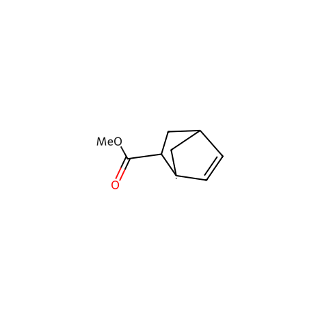 COC(=O)C1CC2C=C[C]1C2